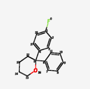 Fc1ccc(C2(c3ccccc3)CCCCO2)cc1